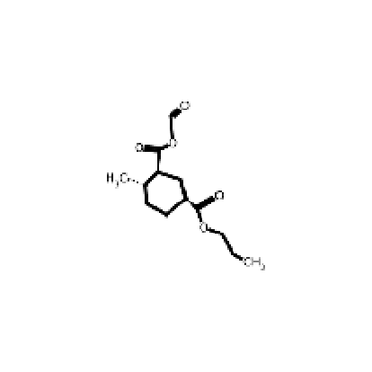 CCCOC(=O)[C@H]1CC[C@H](C)[C@@H](C(=O)OC=O)C1